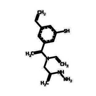 C=Cc1cc(S)cc(C(=C)N(C=C)CC(=C)NN)c1